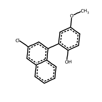 COc1ccc(O)c(-c2cc(Cl)cc3ccccc23)c1